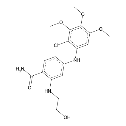 COc1cc(Nc2ccc(C(N)=O)c(NCCO)c2)c(Cl)c(OC)c1OC